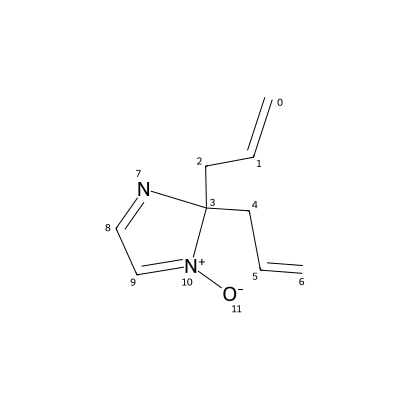 C=CCC1(CC=C)N=CC=[N+]1[O-]